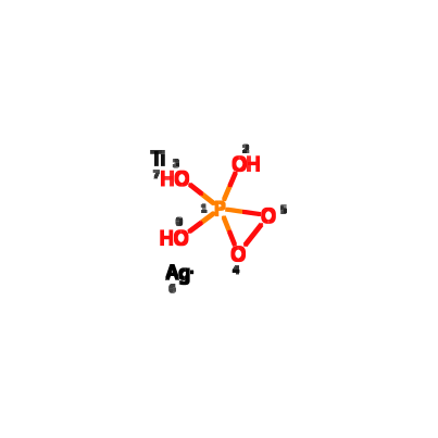 OP1(O)(O)OO1.[Ag].[Ti]